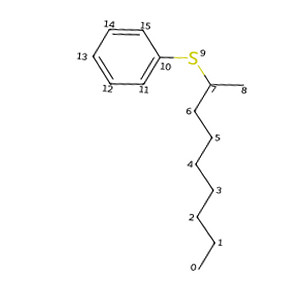 CCCCCCCC(C)Sc1ccccc1